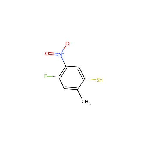 Cc1cc(F)c([N+](=O)[O-])cc1S